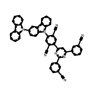 N#Cc1cccc(-c2cc(-c3cc(C#N)c(-n4c5ccccc5c5cc(-n6c7ccccc7c7ccccc76)ccc54)cc3C#N)nc(-c3cccc(C#N)c3)n2)c1